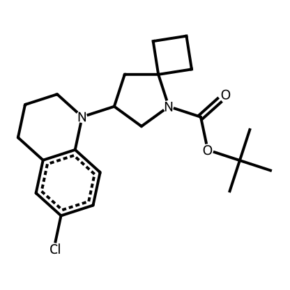 CC(C)(C)OC(=O)N1CC(N2CCCc3cc(Cl)ccc32)CC12CCC2